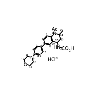 CC(=O)N1c2ccc(-c3ccc(N4CCOCC4)nc3)cc2C(NC(=O)O)CC1C.Cl